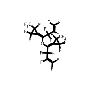 FC(F)=C(F)C(F)(F)C(OC(=C1C(F)(F)C1(F)C(F)(F)F)C(F)(F)C(F)=C(F)F)=C1C(F)(F)C1(F)C(F)(F)F